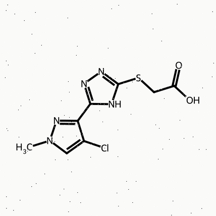 Cn1cc(Cl)c(-c2nnc(SCC(=O)O)[nH]2)n1